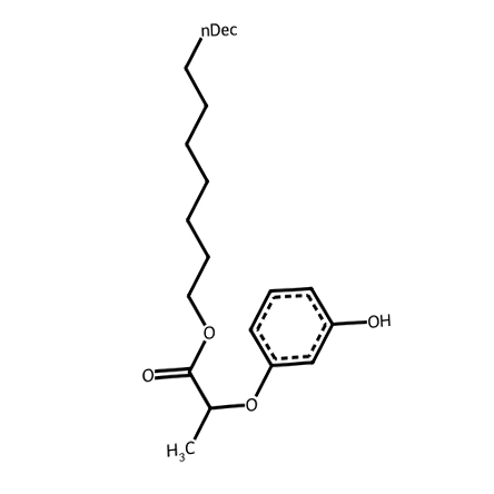 CCCCCCCCCCCCCCCCCOC(=O)C(C)Oc1cccc(O)c1